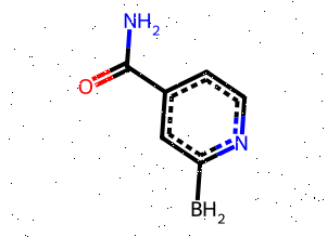 Bc1cc(C(N)=O)ccn1